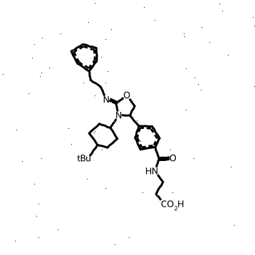 CC(C)(C)C1CCC(N2/C(=N/CCc3ccccc3)OCC2c2ccc(C(=O)NCCC(=O)O)cc2)CC1